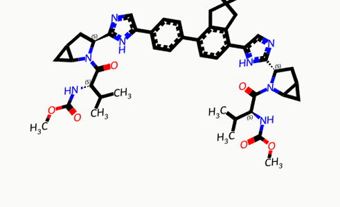 COC(=O)N[C@H](C(=O)N1C2CC2C[C@H]1c1ncc(-c2ccc(-c3ccc(-c4cnc([C@@H]5CC6CC6N5C(=O)[C@@H](NC(=O)OC)C(C)C)[nH]4)c4c3CC3(CCCC3)C4)cc2)[nH]1)C(C)C